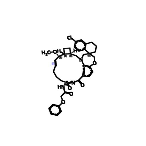 CO[C@H]1/C=C/CCC[S@@](=O)(NC(=O)COc2ccccc2)=NC(=O)c2ccc3c(c2)N(C[C@@H]2CC[C@H]21)C[C@@]1(CCCc2cc(Cl)ccc21)CO3